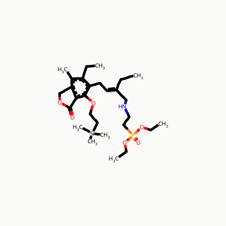 CCOP(=O)(CCNC/C(=C/Cc1c(CC)c(C)c2c(c1OCC[Si](C)(C)C)C(=O)OC2)CC)OCC